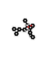 c1ccc(-c2nc(-c3ccccc3)nc(-c3cc(-c4ccc(-c5ccccc5)c(-c5ccccc5)c4)cnc3-n3c4ccccc4c4cc5c(cc43)sc3ccccc35)n2)cc1